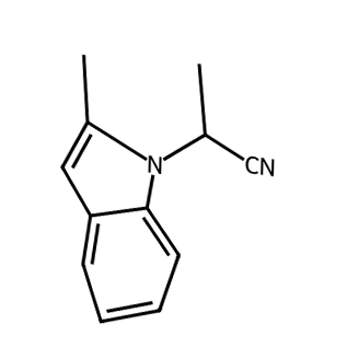 Cc1cc2ccccc2n1C(C)C#N